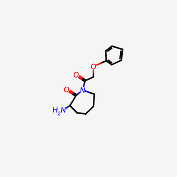 NC1CCCCN(C(=O)COc2ccccc2)C1=O